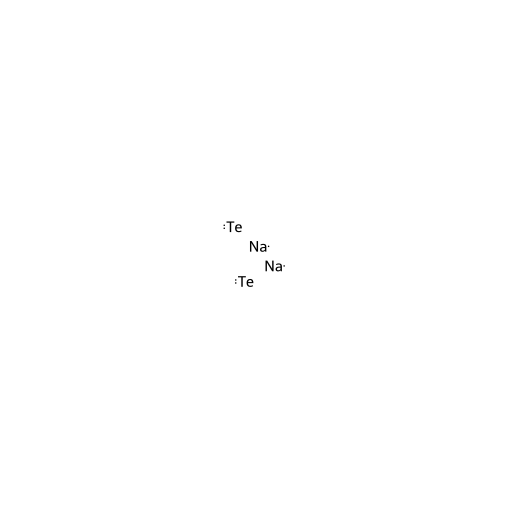 [Na].[Na].[Te].[Te]